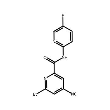 [C-]#[N+]c1cc(CC)nc(C(=O)Nc2ccc(F)cn2)c1